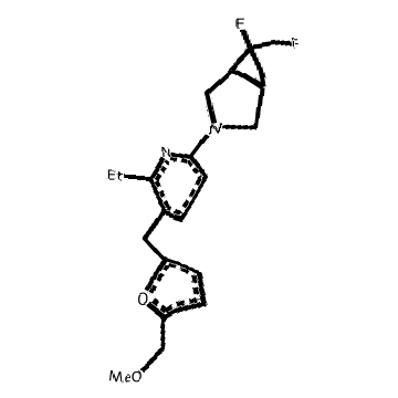 CCc1nc(N2CC3C(C2)C3(F)F)ccc1Cc1ccc(COC)o1